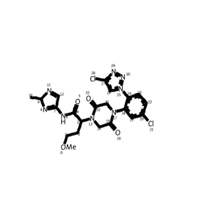 COCCC(C(=O)NC1=NC(C)N=C1)N1CC(=O)N(c2cc(Cl)ccc2-n2cc(Cl)nn2)CC1=O